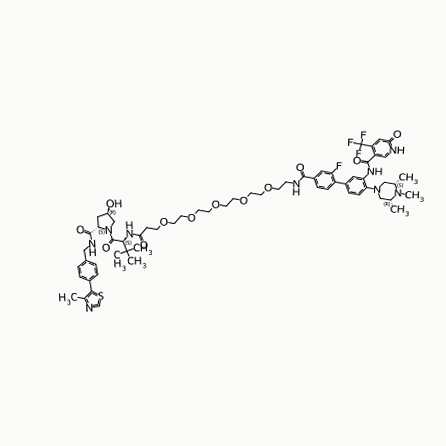 Cc1ncsc1-c1ccc(CNC(=O)[C@@H]2C[C@@H](O)CN2C(=O)[C@@H](NC(=O)CCOCCOCCOCCOCCOCCNC(=O)c2ccc(-c3ccc(N4C[C@@H](C)N(C)[C@@H](C)C4)c(NC(=O)c4c[nH]c(=O)cc4C(F)(F)F)c3)c(F)c2)C(C)(C)C)cc1